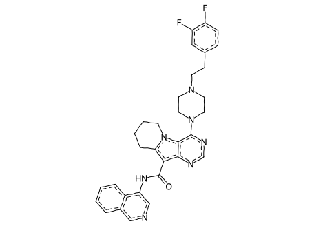 O=C(Nc1cncc2ccccc12)c1c2n(c3c(N4CCN(CCc5ccc(F)c(F)c5)CC4)ncnc13)CCCC2